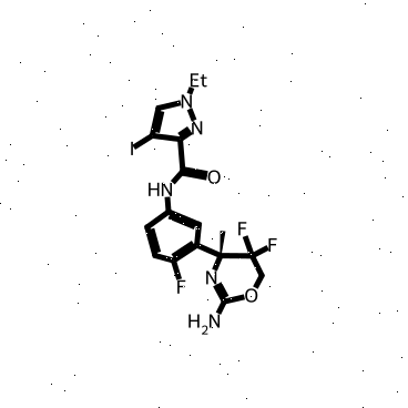 CCn1cc(I)c(C(=O)Nc2ccc(F)c([C@@]3(C)N=C(N)OCC3(F)F)c2)n1